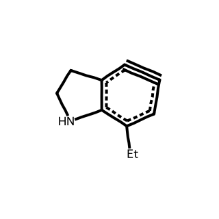 CCc1cc#cc2c1NCC2